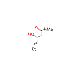 CC/C=C/C(O)CC(=O)NC